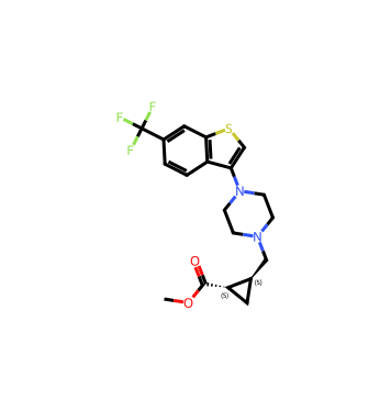 COC(=O)[C@H]1C[C@@H]1CN1CCN(c2csc3cc(C(F)(F)F)ccc23)CC1